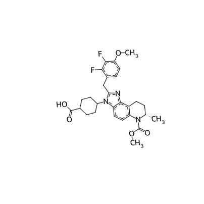 COC(=O)N1c2ccc3c(nc(Cc4ccc(OC)c(F)c4F)n3C3CCC(C(=O)O)CC3)c2CC[C@@H]1C